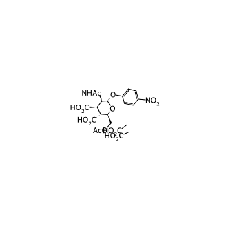 CC(=O)N[C@H]1[C@H](Oc2ccc([N+](=O)[O-])cc2)O[C@@H](COC(C)=O)[C@H](C(=O)O)[C@H]1C(=O)O.CC(=O)O.CC(=O)O